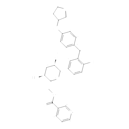 O=C(OC[C@H]1O[C@@H](c2ccc(Cl)c(Cc3ccc(OC4CCOC4)cc3)c2)[C@H](O)[C@@H](O)[C@@H]1O)c1cccnc1